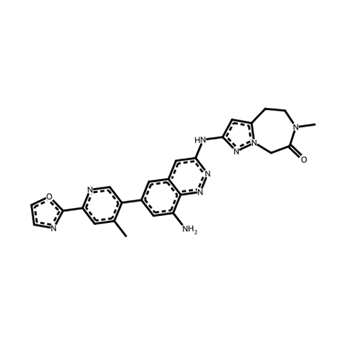 Cc1cc(-c2ncco2)ncc1-c1cc(N)c2nnc(Nc3cc4n(n3)CC(=O)N(C)CC4)cc2c1